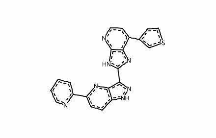 c1ccc(-c2ccc3[nH]nc(-c4nc5c(-c6ccsc6)ccnc5[nH]4)c3n2)nc1